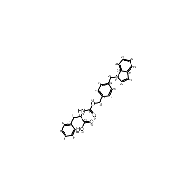 O=C(NC(Cc1ccccc1)C(=O)O)OCc1ccc(Cn2ccc3ccccc32)cc1